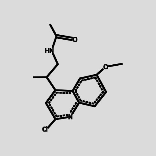 COc1ccc2nc(Cl)cc(C(C)CNC(C)=O)c2c1